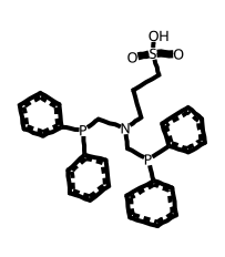 O=S(=O)(O)CCCN(CP(c1ccccc1)c1ccccc1)CP(c1ccccc1)c1ccccc1